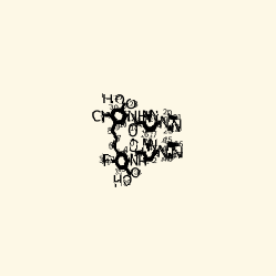 O=C(Nc1cc(CCCc2cc(NC(=O)c3ccc(-n4ccnc4)nn3)c(C(=O)O)cc2Cl)c(F)cc1C(=O)O)c1ccc(-n2ccnc2)nn1